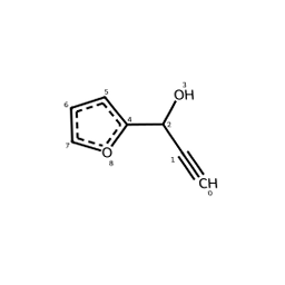 C#CC(O)c1ccco1